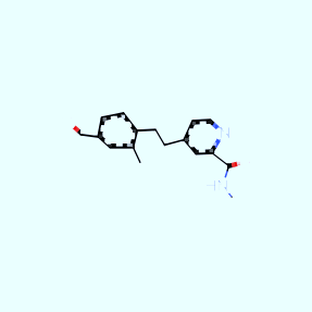 CNC(=O)c1cc(CCc2ccc(C=O)cc2C)ccn1